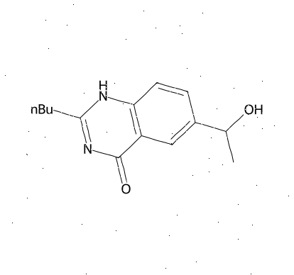 CCCCc1nc(=O)c2cc(C(C)O)ccc2[nH]1